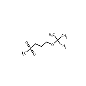 CC(C)(C)OCCCS(C)(=O)=O